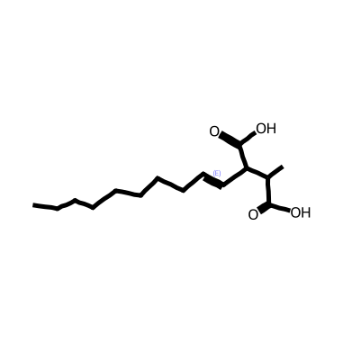 CCCCCCCC/C=C/C(C(=O)O)C(C)C(=O)O